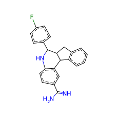 N=C(N)c1ccc2c(c1)C1c3ccccc3CC1C(c1ccc(F)cc1)N2